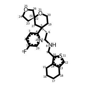 Fc1ccc([C@]2(CCNCc3scc4c3CCCC4)CCO[C@]3(CCOC3)C2)nc1